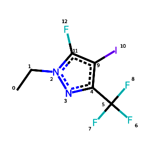 CCn1nc(C(F)(F)F)c(I)c1F